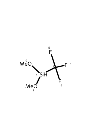 CO[SiH](OC)C(F)(F)F